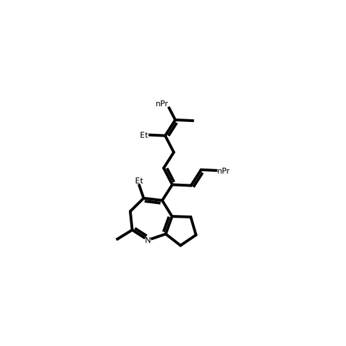 CCC/C=C/C(=C\C/C(CC)=C(\C)CCC)C1=C(CC)CC(C)=NC2=C1CCC2